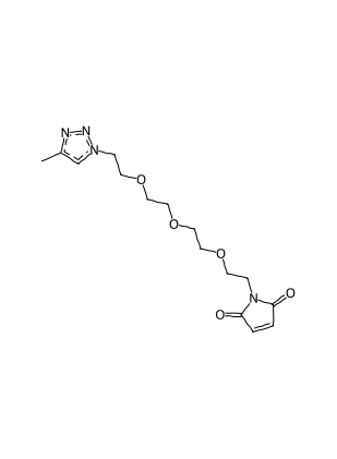 Cc1cn(CCOCCOCCOCCN2C(=O)C=CC2=O)nn1